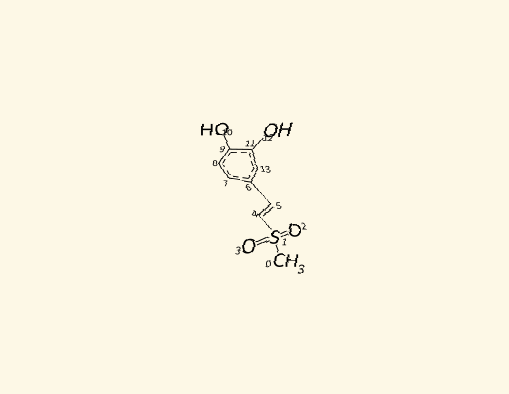 CS(=O)(=O)/C=C/c1ccc(O)c(O)c1